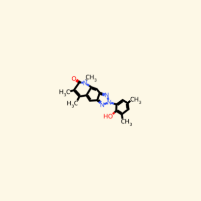 Cc1cc(C)c(O)c(-n2nc3cc4c(C)c(C)c(=O)n(C)c4cc3n2)c1